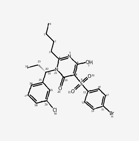 CCCCc1nc(O)c(S(=O)(=O)c2ccc(Br)cc2)c(=O)n1[C@@H](CC)c1cccc(Cl)c1